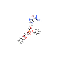 Cc1ccc(COP(=O)(COCCn2cnc3c(=O)[nH]c(N)nc32)OCCC(=O)Oc2ccc(F)cc2)cc1